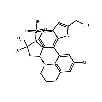 CC1(C)C[C@H](N2CCCc3cc(Cl)cc(-c4ccnc5cc(CO)sc45)c32)CN1S(=O)(=O)C(C)(C)C